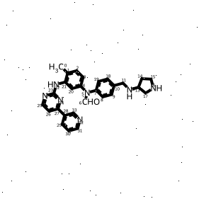 Cc1ccc(N(C=O)c2ccc(CNC3CCNC3)cc2)cc1Nc1nccc(-c2cccnc2)n1